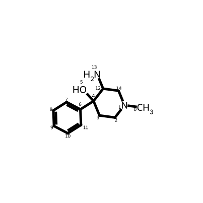 CN1CCC(O)(c2ccccc2)C(N)C1